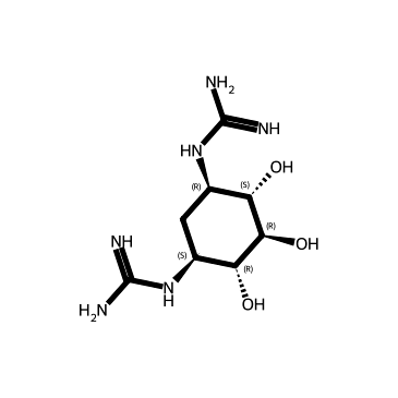 N=C(N)N[C@H]1C[C@@H](NC(=N)N)[C@H](O)[C@@H](O)[C@@H]1O